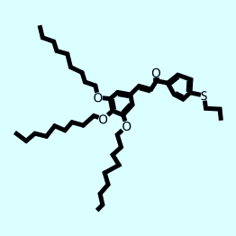 CCCCCCCCCOc1cc(/C=C/C(=O)c2ccc(SCCC)cc2)cc(OCCCCCCCCC)c1OCCCCCCCCC